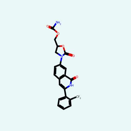 NC(=O)OCC1CN(c2ccc3cc(-c4ccccc4C(F)(F)F)[nH]c(=O)c3c2)C(=O)O1